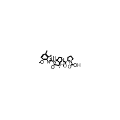 COc1ccc(C)c2sc(N3C(=O)[C@@H](C)[C@@H]4[C@@H]3CCN4C(=O)[C@@H]3CCCN3C(=O)O)nc12